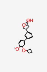 COc1ccc(-c2cccc(C3COB(O)C3)c2)cc1OC1CCC1